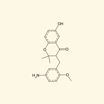 COc1ccc(N)cc1CC1C(=O)c2cc(O)ccc2OC1(C)C